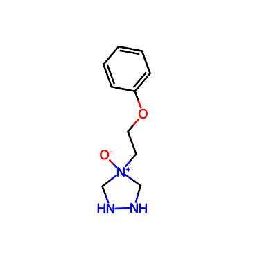 [O-][N+]1(CCOc2ccccc2)CNNC1